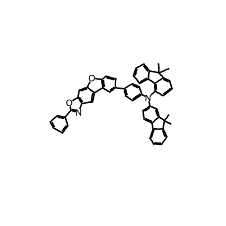 CC1(C)c2ccccc2-c2ccc(N(c3ccc(-c4ccc5oc6cc7oc(-c8ccccc8)nc7cc6c5c4)cc3)c3cccc4c3-c3ccccc3C4(C)C)cc21